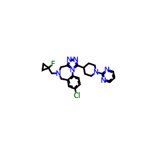 FC1(CN2Cc3cc(Cl)ccc3-n3c(nnc3C3CCN(c4ncccn4)CC3)C2)CC1